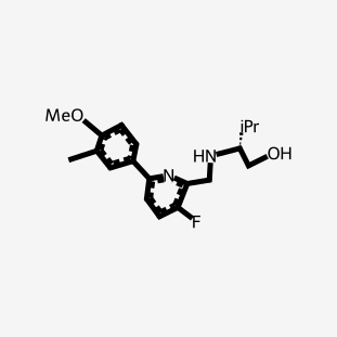 COc1ccc(-c2ccc(F)c(CN[C@@H](CO)C(C)C)n2)cc1C